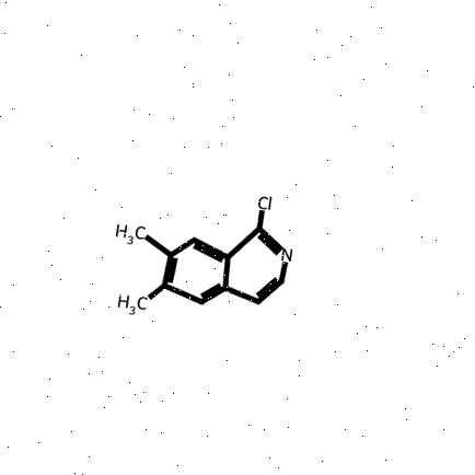 Cc1cc2ccnc(Cl)c2cc1C